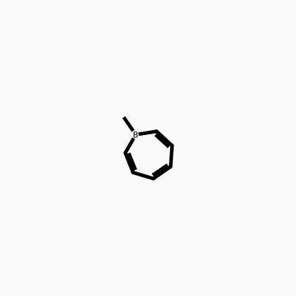 CB1C=CC=CC=C1